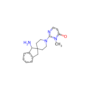 Cn1c(N2CCC3(CC2)Cc2ccccc2C3N)nccc1=O